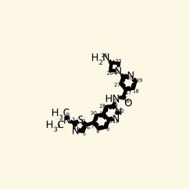 CN(C)c1ncc(-c2ccc3nnc(NC(=O)c4ccnc(N5CC(N)C5)c4)cc3c2)s1